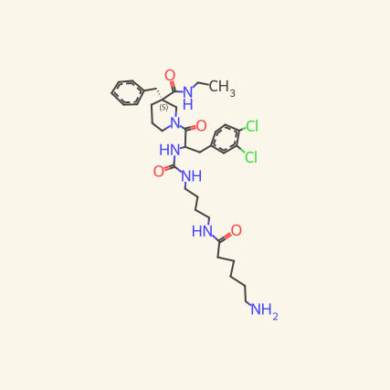 CCNC(=O)[C@]1(Cc2ccccc2)CCCN(C(=O)C(Cc2ccc(Cl)c(Cl)c2)NC(=O)NCCCCNC(=O)CCCCCN)C1